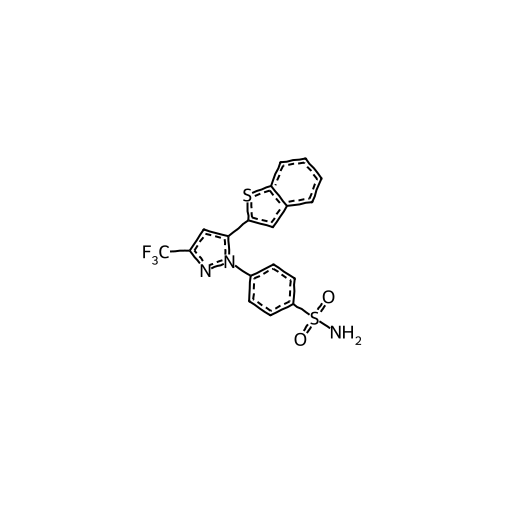 NS(=O)(=O)c1ccc(-n2nc(C(F)(F)F)cc2-c2cc3ccccc3s2)cc1